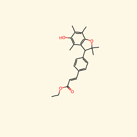 CCOC(=O)C=Cc1ccc(C2c3c(C)c(O)c(C)c(C)c3OC2(C)C)cc1